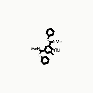 CNC(Oc1ccccc1)c1cc(C)cc(C(NC)Oc2ccccc2)c1.Cl.Cl